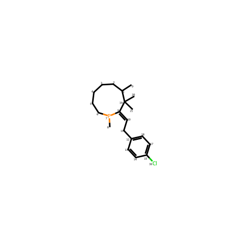 CC1CCCCCP(C)C(=CCc2ccc(Cl)cc2)C1(C)C